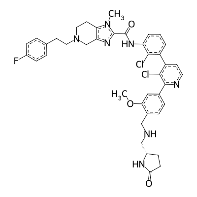 COc1cc(-c2nccc(-c3cccc(NC(=O)c4nc5c(n4C)CCN(CCc4ccc(F)cc4)C5)c3Cl)c2Cl)ccc1CNC[C@@H]1CCC(=O)N1